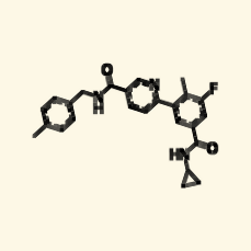 Cc1ccc(CNC(=O)c2ccc(-c3cc(C(=O)NC4CC4)cc(F)c3C)nc2)cc1